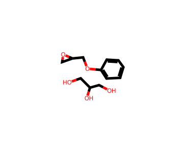 OCC(O)CO.c1ccc(OCC2CO2)cc1